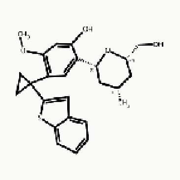 COc1cc(O)c([C@H]2C[C@@H](C)C[C@@H](CO)O2)cc1C1(c2cc3ccccc3s2)CC1